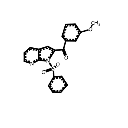 COc1cccc(C(=O)c2cc3cccnc3n2S(=O)(=O)c2ccccc2)c1